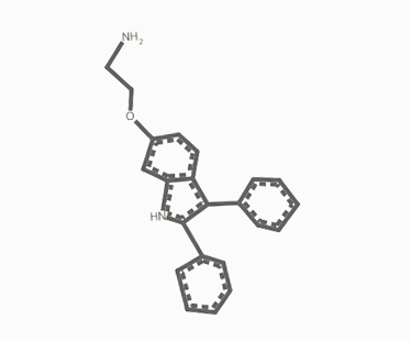 NCCOc1ccc2c(-c3ccccc3)c(-c3ccccc3)[nH]c2c1